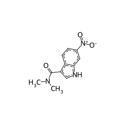 CN(C)C(=O)c1c[nH]c2cc([N+](=O)[O-])ccc12